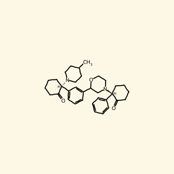 CC1CCN([C@@]2(c3cccc(C4CN([C@@]5(c6ccccc6)CCCCC5=O)CCO4)c3)CCCCC2=O)CC1